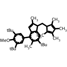 COc1c(C(C)(C)C)cc(-c2c(C)c(C(C)(C)C)cc3c2C=C(C)C3CC2C(C)=C(C)C(C)=C2C)cc1C(C)(C)C